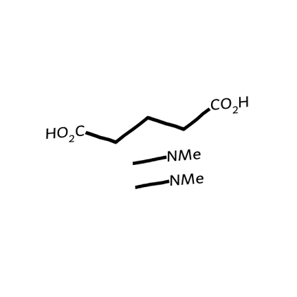 CNC.CNC.O=C(O)CCCC(=O)O